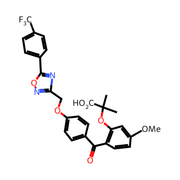 COc1ccc(C(=O)c2ccc(OCc3noc(-c4ccc(C(F)(F)F)cc4)n3)cc2)c(OC(C)(C)C(=O)O)c1